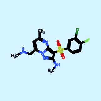 CNCc1cc(C)nc2c(S(=O)(=O)c3ccc(F)c(Cl)c3)c(NC)nn12